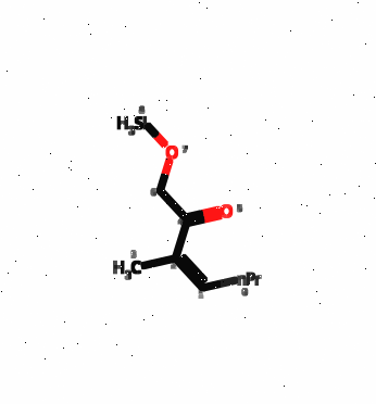 CCCC=C(C)C(=O)CO[SiH3]